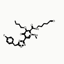 CCCCOc1c(C(=O)NCCCCC=O)n(NC)cc(-c2nnc(Cc3ccc(F)cc3)s2)c1=O